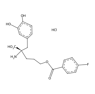 Cl.N[C@@](CCCOC(=O)c1ccc(F)cc1)(Cc1ccc(O)c(O)c1)C(=O)O